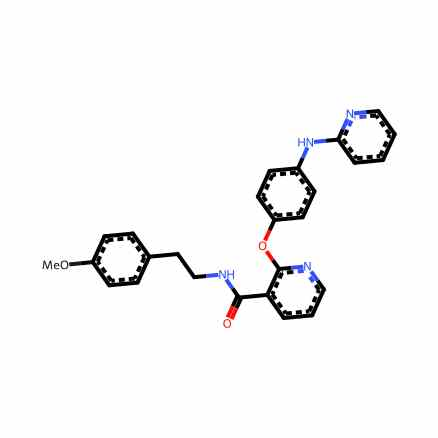 COc1ccc(CCNC(=O)c2cccnc2Oc2ccc(Nc3ccccn3)cc2)cc1